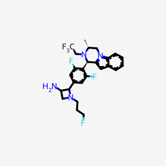 C[C@@H]1Cn2c(cc3ccccc32)[C@@H](c2c(F)cc(C3C(N)CN3CCCF)cc2F)N1CC(F)(F)F